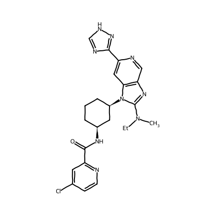 CCN(C)c1nc2cnc(-c3nc[nH]n3)cc2n1[C@@H]1CCC[C@H](NC(=O)c2cc(Cl)ccn2)C1